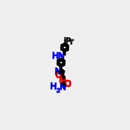 CC(C)c1ccc(CNc2ccc(-c3cc(COC(N)=O)on3)cc2)cc1